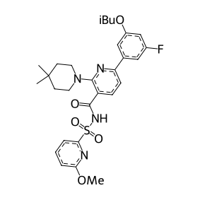 COc1cccc(S(=O)(=O)NC(=O)c2ccc(-c3cc(F)cc(OCC(C)C)c3)nc2N2CCC(C)(C)CC2)n1